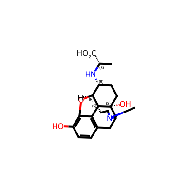 C[C@H](N[C@@H]1CC[C@@]2(O)C3Cc4ccc(O)c5c4[C@@]2(CCN3C)[C@H]1O5)C(=O)O